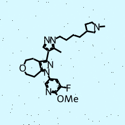 COc1ncc(-n2nc(-c3cnn(CCCCC4CCN(C)C4)c3C)c3c2CCOCC3)cc1F